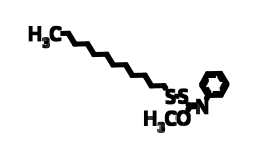 CCCCCCCCCCCCSSC(=Nc1ccccc1)OC